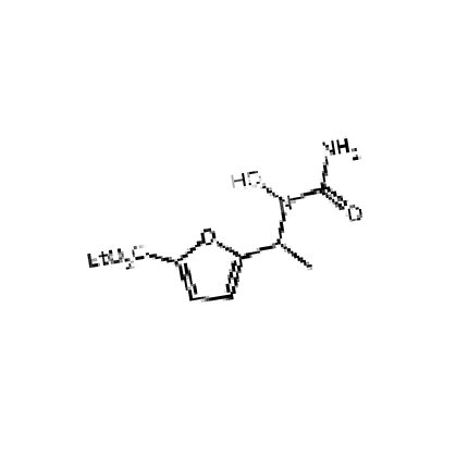 CCOC(=O)c1ccc(C(C)N(O)C(N)=O)o1